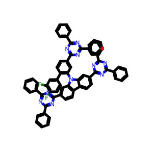 Fc1ccc(-c2ccc(-c3nc(-c4ccccc4)nc(-c4ccccc4)n3)cc2-n2c3cc(-c4nc(-c5ccccc5)nc(-c5ccccc5)n4)ccc3c3ccc(-c4nc(-c5ccccc5)nc(-c5ccccc5)n4)cc32)cc1F